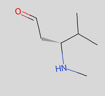 CN[C@H](CC=O)C(C)C